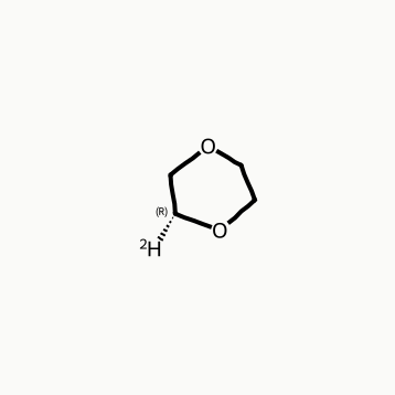 [2H][C@@H]1COCCO1